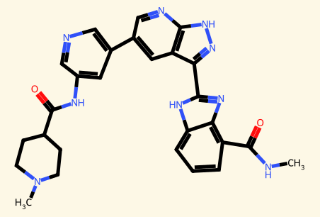 CNC(=O)c1cccc2[nH]c(-c3n[nH]c4ncc(-c5cncc(NC(=O)C6CCN(C)CC6)c5)cc34)nc12